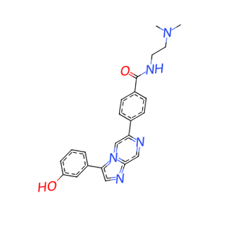 CN(C)CCNC(=O)c1ccc(-c2cn3c(-c4cccc(O)c4)cnc3cn2)cc1